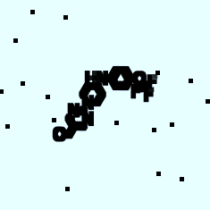 O=Cc1cnc(N2CCC(Nc3ccc(OC(F)(F)F)cc3)CC2)nc1